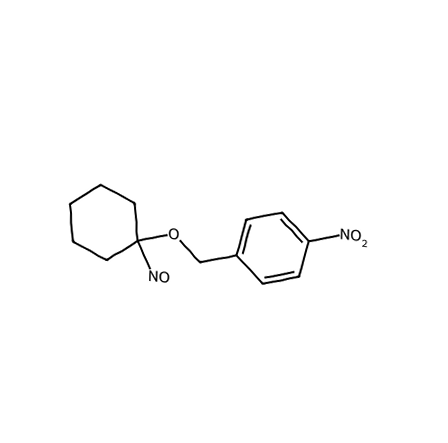 O=NC1(OCc2ccc([N+](=O)[O-])cc2)CCCCC1